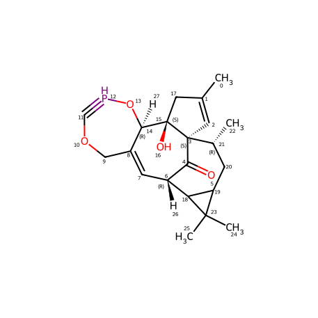 CC1=C[C@]23C(=O)[C@@H](C=C4COC#[PH]O[C@H]4[C@]2(O)C1)C1C(C[C@H]3C)C1(C)C